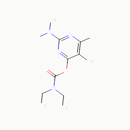 CCN(CC)C(=O)Oc1nc(N(C)C)nc(C)c1C